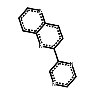 c1cnc2ccc(-c3cnccn3)nc2c1